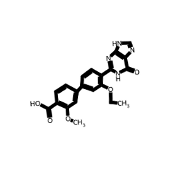 CCOc1cc(-c2ccc(C(=O)O)c(OC)c2)ccc1-c1nc2[nH]cnc2c(=O)[nH]1